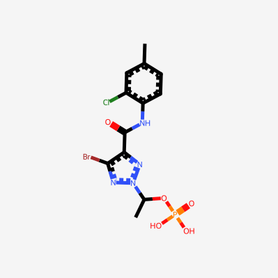 Cc1ccc(NC(=O)c2nn(C(C)OP(=O)(O)O)nc2Br)c(Cl)c1